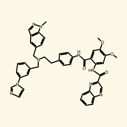 COc1cc(NC(=O)c2cnc3ccccc3n2)c(C(=O)Nc2ccc(CCN(Cc3cccc(-n4ccnc4)c3)Cc3ccc4c(cnn4C)c3)cc2)cc1OC